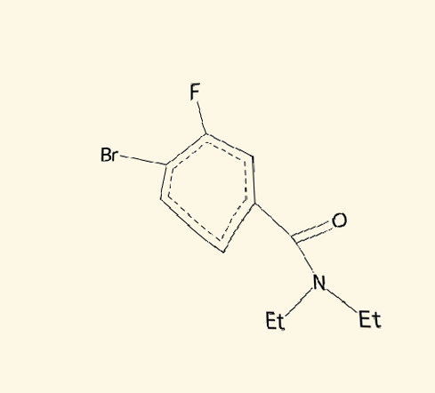 CCN(CC)C(=O)c1ccc(Br)c(F)c1